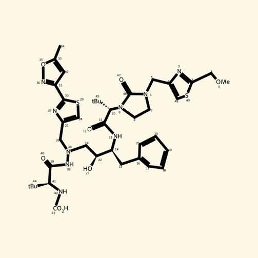 COCc1nc(CN2CCN([C@H](C(=O)N[C@@H](Cc3ccccc3)[C@@H](O)CN(Cc3csc(-c4cc(C)on4)n3)NC(=O)[C@@H](NC(=O)O)C(C)(C)C)C(C)(C)C)C2=O)cs1